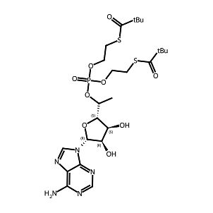 CC(OP(=O)(OCCSC(=O)C(C)(C)C)OCCSC(=O)C(C)(C)C)[C@H]1O[C@@H](n2cnc3c(N)ncnc32)[C@H](O)[C@@H]1O